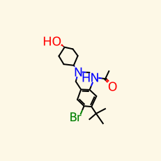 CC(=O)Nc1cc(C(C)(C)C)c(Br)cc1CN(C)[C@H]1CC[C@H](O)CC1